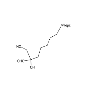 CCCCCCCCCCCCC(O)([C]=O)CO